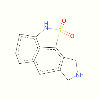 O=S1(=O)Nc2cccc3cc4c(c1c23)CNC4